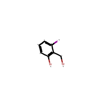 BrCc1c(Br)cccc1I